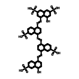 O=S(=O)(O)c1cc(O)c2c(N=Nc3ccc(N=Nc4ccc(N=Nc5ccc(O)c6cc(S(=O)(=O)O)ccc56)c5cc(S(=O)(=O)O)ccc45)c4cc(S(=O)(=O)O)ccc34)cc(S(=O)(=O)O)cc2c1